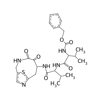 CC(C)C(NC(=O)OCc1ccccc1)C(=O)NC(C(=O)NC1Cc2ncc(s2)CNC(=O)C1=O)C(C)C